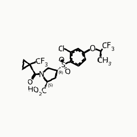 CC(Oc1ccc(S(=O)(=O)[C@@H]2C[C@@H](C(=O)O)N(C(=O)C3(C(F)(F)F)CC3)C2)c(Cl)c1)C(F)(F)F